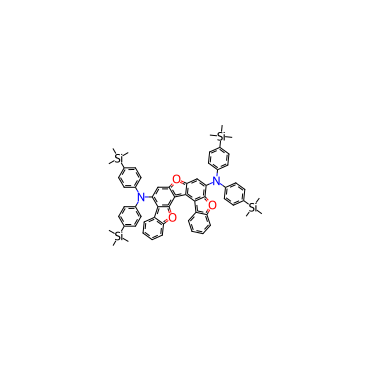 C[Si](C)(C)c1ccc(N(c2ccc([Si](C)(C)C)cc2)c2cc3oc4cc(N(c5ccc([Si](C)(C)C)cc5)c5ccc([Si](C)(C)C)cc5)c5c6ccccc6oc5c4c3c3c2oc2ccccc23)cc1